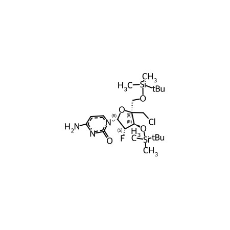 CC(C)(C)[Si](C)(C)OC[C@@]1(CCl)O[C@@H](n2ccc(N)nc2=O)[C@@H](F)[C@@H]1O[Si](C)(C)C(C)(C)C